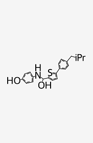 CC(C)Cc1ccc(-c2ccc(C(O)Nc3ccc(O)cc3)s2)cc1